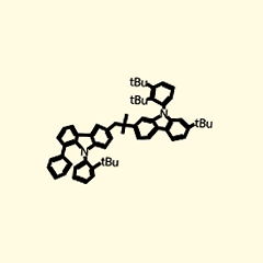 CC(C)(C)c1ccc2c3ccc(C(C)(C)Cc4ccc5c(c4)c4cccc(-c6ccccc6)c4n5-c4ccccc4C(C)(C)C)cc3n(-c3cccc(C(C)(C)C)c3C(C)(C)C)c2c1